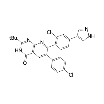 CC(C)(C)c1nc2nc(-c3ccc(-c4cn[nH]c4)cc3Cl)c(-c3ccc(Cl)cc3)cc2c(=O)[nH]1